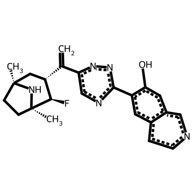 C=C(c1cnc(-c2cc3ccncc3cc2O)nn1)[C@H]1C[C@]2(C)CC[C@@](C)(N2)[C@@H]1F